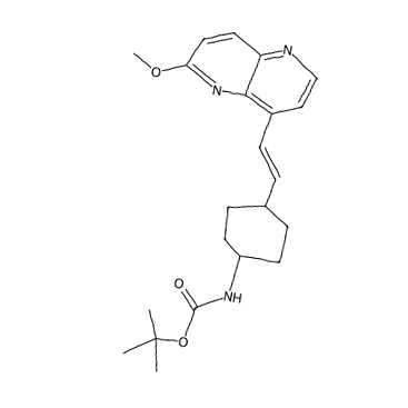 COc1ccc2nccc(C=CC3CCC(NC(=O)OC(C)(C)C)CC3)c2n1